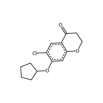 O=C1CCOc2cc(OC3CCCC3)c(Cl)cc21